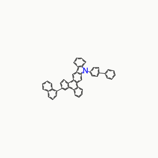 c1ccc(-c2ccc(-n3c4ccccc4c4cc5c6ccc(-c7cccc8ccccc78)cc6c6ccccc6c5cc43)cc2)cc1